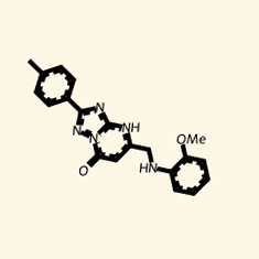 COc1ccccc1NCc1cc(=O)n2nc(-c3ccc(C)cc3)nc2[nH]1